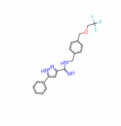 N=C(NCc1ccc(COCC(F)(F)F)cc1)c1cc(-c2ccccc2)[nH]n1